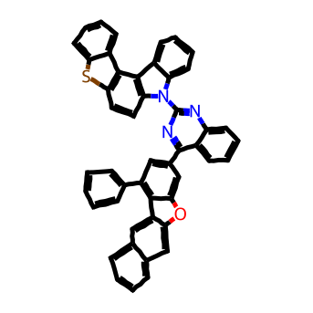 c1ccc(-c2cc(-c3nc(-n4c5ccccc5c5c6c(ccc54)sc4ccccc46)nc4ccccc34)cc3oc4cc5ccccc5cc4c23)cc1